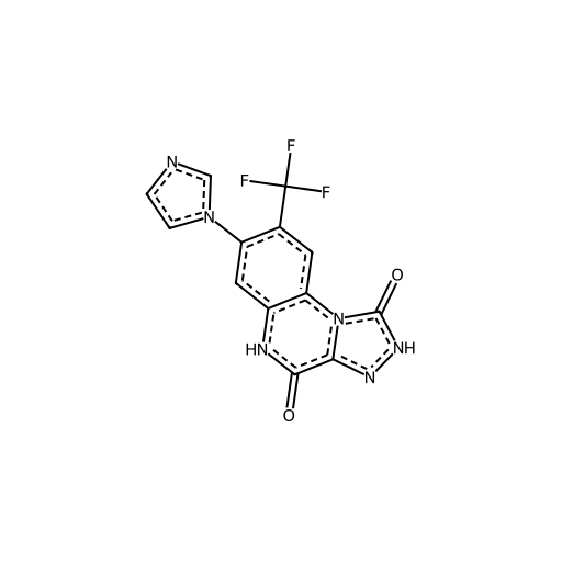 O=c1[nH]c2cc(-n3ccnc3)c(C(F)(F)F)cc2n2c(=O)[nH]nc12